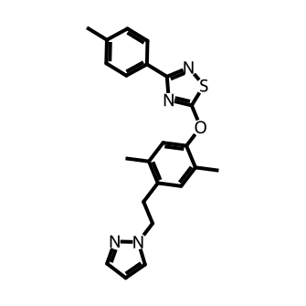 Cc1ccc(-c2nsc(Oc3cc(C)c(CCn4cccn4)cc3C)n2)cc1